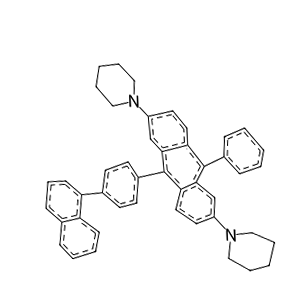 c1ccc(-c2c3ccc(N4CCCCC4)cc3c(-c3ccc(-c4cccc5ccccc45)cc3)c3ccc(N4CCCCC4)cc23)cc1